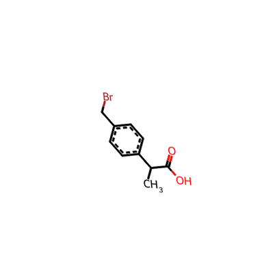 CC(C(=O)O)c1ccc(CBr)cc1